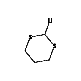 [Li][CH]1SCCCS1